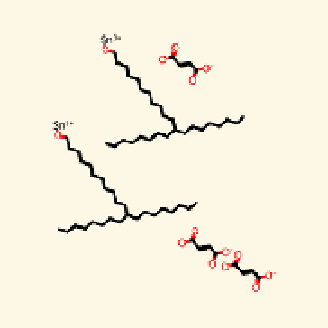 CCCCCCCCC(CCCCCCCC)CCCCCCCCCCC[O][Sn+3].CCCCCCCCC(CCCCCCCC)CCCCCCCCCCC[O][Sn+3].O=C([O-])C=CC(=O)[O-].O=C([O-])C=CC(=O)[O-].O=C([O-])C=CC(=O)[O-]